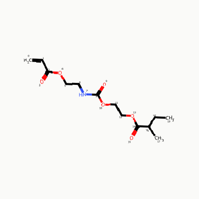 C=CC(=O)OCCNC(=O)OCCOC(=O)C(C)CC